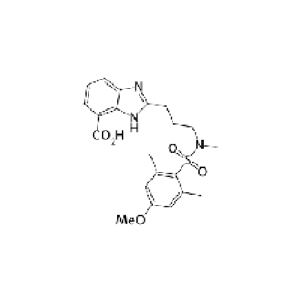 COc1cc(C)c(S(=O)(=O)N(C)CCCc2nc3cccc(C(=O)O)c3[nH]2)c(C)c1